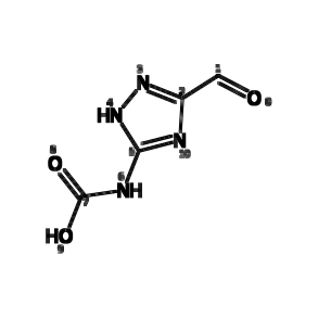 O=Cc1n[nH]c(NC(=O)O)n1